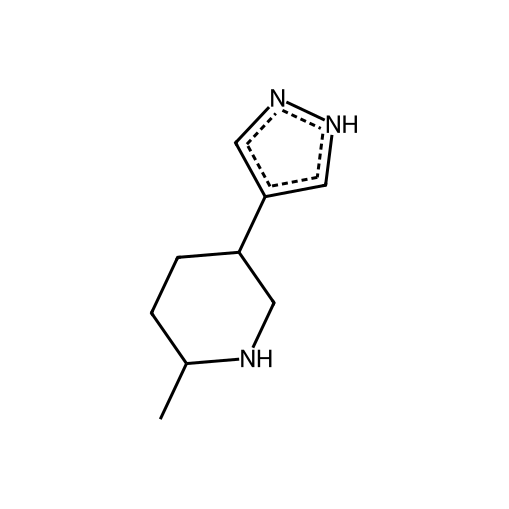 CC1CCC(c2cn[nH]c2)CN1